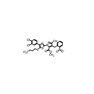 CCCCSc1sc(-n2nc(C)c(Cc3ccccc3[N+](=O)[O-])c2C(=O)OC)nc1-c1ccc(Cl)c(Cl)c1